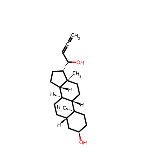 C=C=CC(O)[C@H]1CC[C@H]2[C@@H]3CC[C@H]4C[C@H](O)CC[C@]4(C)[C@H]3CC[C@]12C